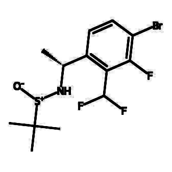 C[C@@H](N[S+]([O-])C(C)(C)C)c1ccc(Br)c(F)c1C(F)F